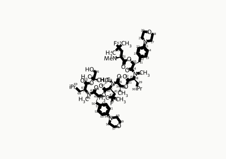 CN[C@@H](CC(C)(C)F)C(=O)O[C@H](Cc1ccc(N2CCOCC2)cc1)C(=O)N(C)[C@@H](CC(C)C)C(=O)O[C@H](C)C(=O)N(C)[C@@H](CC(C)(C)F)C(=O)O[C@H](Cc1ccc(N2CCOCC2)cc1)C(=O)N(C)[C@@H](CC(C)C)C(=O)O[C@@](C)(C=O)CO